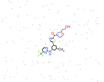 Cc1cc(Nc2nccc(C(F)(F)F)n2)cc(-c2cnc(C(=O)N3CCOC(CCO)C3)s2)c1